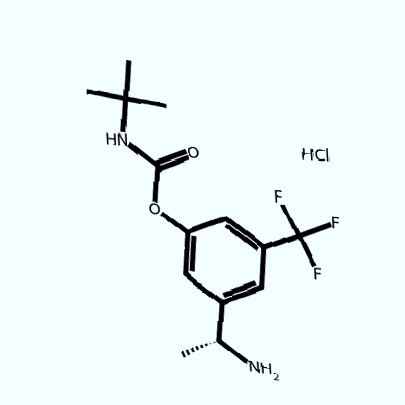 C[C@@H](N)c1cc(OC(=O)NC(C)(C)C)cc(C(F)(F)F)c1.Cl